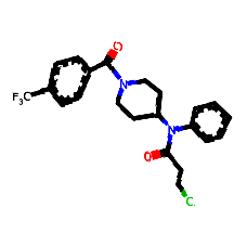 O=C(c1ccc(C(F)(F)F)cc1)N1CCC(N(C(=O)CCCl)c2ccccc2)CC1